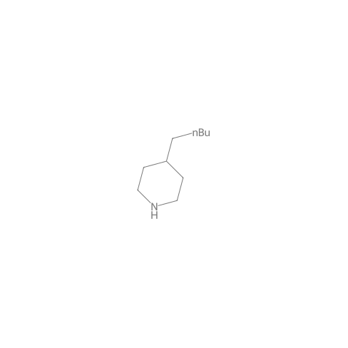 [CH2]CCCCC1CCNCC1